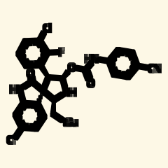 CC(C)(C)C[C@@H]1N[C@H](OC(=O)Nc2ccc(C#N)cc2)[C@H](c2cccc(Cl)c2F)[C@]12C(=O)Nc1cc(Cl)ccc12